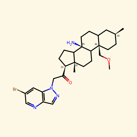 COC[C@]12CC[C@H](C)CC1CC[C@]1(N)C2CC[C@@]2(C)C1CC[C@@H]2C(=O)Cn1ncc2ncc(Br)cc21